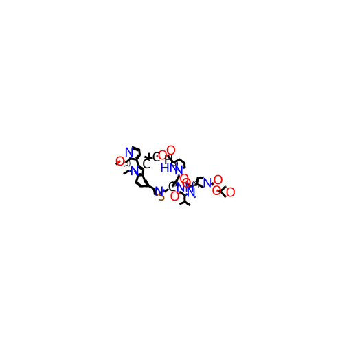 CCn1c(-c2cccnc2[C@H](C)OC)c2c3cc(ccc31)-c1csc(n1)C[C@H](NC(=O)C(C(C)C)N(C)C(=O)[C@H]1CCN(C(=O)OC3COC3)C1)C(=O)N1CCC[C@H](N1)C(=O)OCC(C)(C)C2